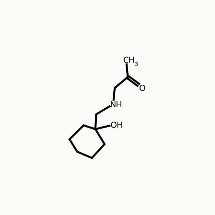 CC(=O)CNCC1(O)CCCCC1